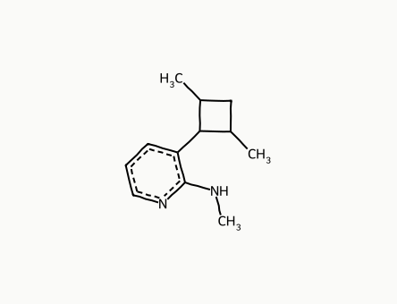 CNc1ncccc1C1C(C)CC1C